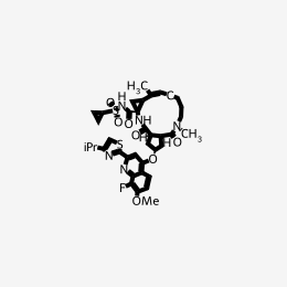 COc1ccc2c(O[C@@H]3C[C@H]4C(=O)N[C@]5(C(=O)NS(=O)(=O)C6CC6)CC5/C(C)=C\CCCCN(C)C(=O)[C@@H]4C3)cc(-c3nc(C(C)C)cs3)nc2c1F